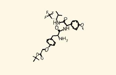 COc1ccc([C@H](NC(=O)[C@@H](N)Cc2ccc(OCC(=O)OC(C)(C)C)cc2)C(=O)N[C@H](CC(F)(F)F)C(C)C)cc1